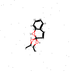 CCOC1(OCC)C=Cc2ccccc2O1